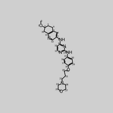 COC1CCc2cc(Nc3ccnc(Nc4ccc(OCCCN5CCOCC5)cc4)n3)cnc2C1